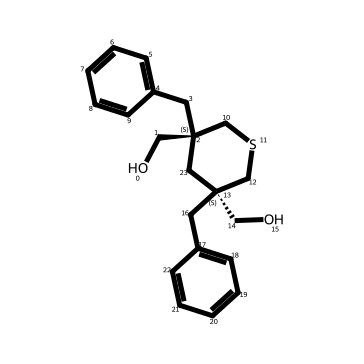 OC[C@@]1(Cc2ccccc2)CSC[C@@](CO)(Cc2ccccc2)C1